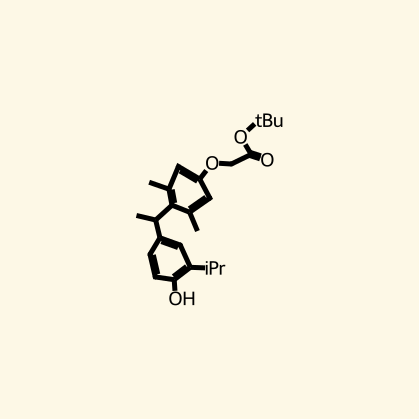 Cc1cc(OCC(=O)OC(C)(C)C)cc(C)c1C(C)c1ccc(O)c(C(C)C)c1